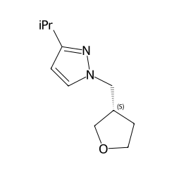 CC(C)c1ccn(C[C@@H]2CCOC2)n1